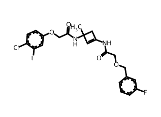 CC1(NC(=O)COc2ccc(Cl)c(F)c2)C=C(NC(=O)COCc2cccc(F)c2)C1